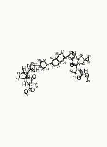 CC[C@H](NC(=O)OC)C(=O)N1C2CC[C@@H](C2)[C@H]1c1ncc(-c2ccc(-c3ccc4cc(-c5cnc([C@@H]6CC7(CC7)CN6C(=O)[C@@H](NC(=O)OC)C(C)C)[nH]5)ccc4c3)cc2)[nH]1